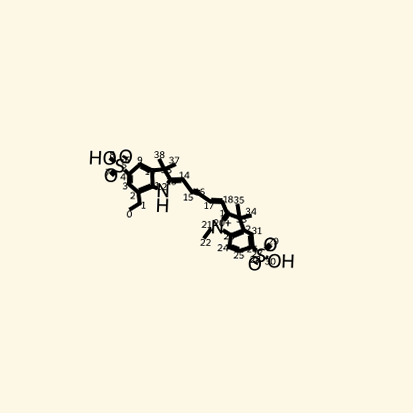 CCc1cc(S(=O)(=O)O)cc2c1NC(=CC=CC=CC1=[N+](CC)c3ccc(S(=O)(=O)O)cc3C1(C)C)C2(C)C